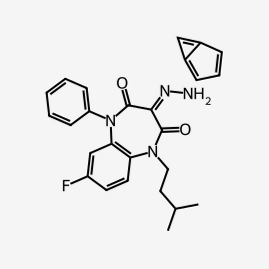 CC(C)CCn1c(=O)c(=NN)c(=O)n(-c2ccccc2)c2cc(F)ccc21.c1cc2cc-2c1